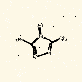 CCn1c(C(C)(C)C)nnc1C(C)(C)C